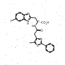 Cc1sc(-c2ccccc2)nc1CC(=O)N[C@H](Cc1nc2ccc(F)cc2[nH]1)C(=O)O